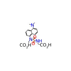 CN(C)c1cccc2c(N(CC(=O)O)S(=O)(=O)NCC(=O)O)cccc12